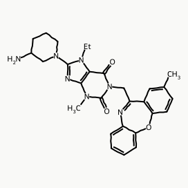 CCn1c(N2CCCC(N)C2)nc2c1c(=O)n(CC1=Nc3ccccc3Oc3ccc(C)cc31)c(=O)n2C